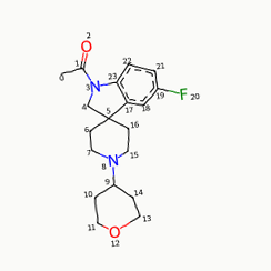 CC(=O)N1CC2(CCN(C3CCOCC3)CC2)c2cc(F)ccc21